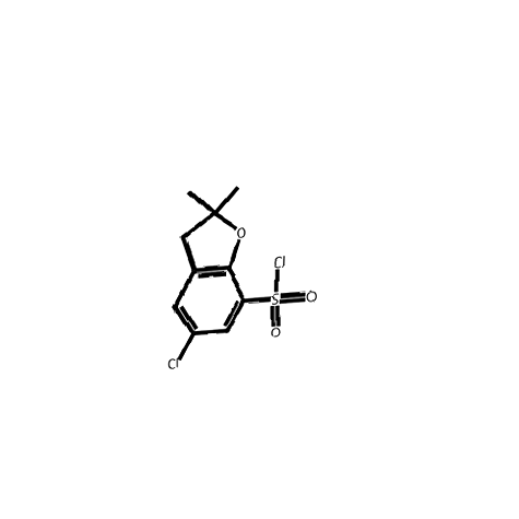 CC1(C)Cc2cc(Cl)cc(S(=O)(=O)Cl)c2O1